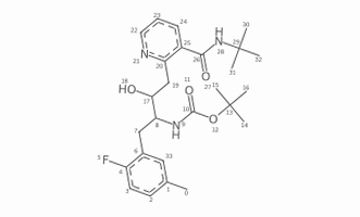 Cc1ccc(F)c(CC(NC(=O)OC(C)(C)C)C(O)Cc2ncccc2C(=O)NC(C)(C)C)c1